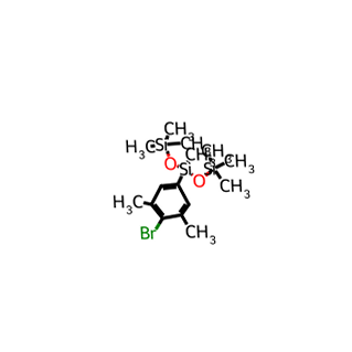 Cc1cc([Si](C)(O[Si](C)(C)C)O[Si](C)(C)C)cc(C)c1Br